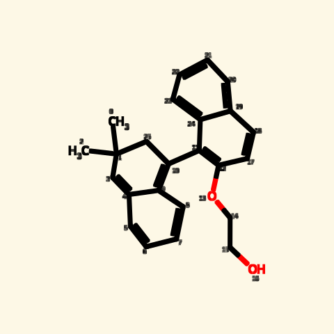 CC1(C)C=c2ccccc2=C(c2c(OCCO)ccc3ccccc23)C1